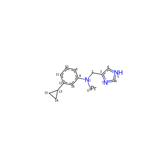 CC(C)N(Cc1c[nH]cn1)c1cccc(C2CC2)c1